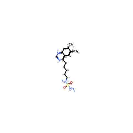 Cc1cc2ncnc(CCCCCNS(N)(=O)=O)c2cc1C